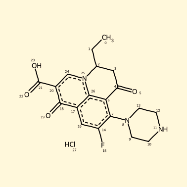 CCC1CC(=O)c2c(N3CCNCC3)c(F)cc3c(=O)c(C(=O)O)cn1c23.Cl